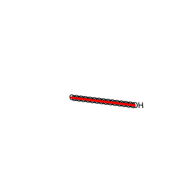 COCCOCCOCCOCCOCCOCCOCCOCCOCCOCCOCCOCCOCCOCCOCCOCCOCCOCCOCCOCCOCCOCCOCCOCCOCCOCCOCCOCCO